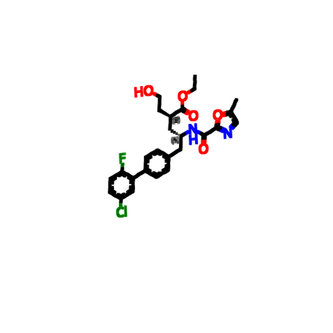 CCOC(=O)[C@H](CCO)C[C@@H](Cc1ccc(-c2cc(Cl)ccc2F)cc1)NC(=O)c1ncc(C)o1